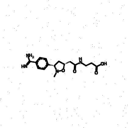 CN1O[C@@H](CC(=O)NCCC(=O)O)C[C@H]1c1ccc(C(=N)N)cc1